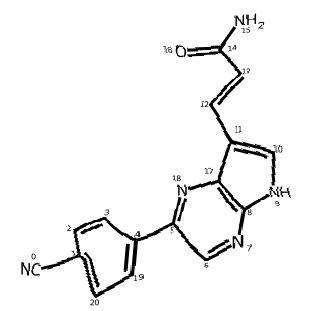 N#Cc1ccc(-c2cnc3[nH]cc(C=CC(N)=O)c3n2)cc1